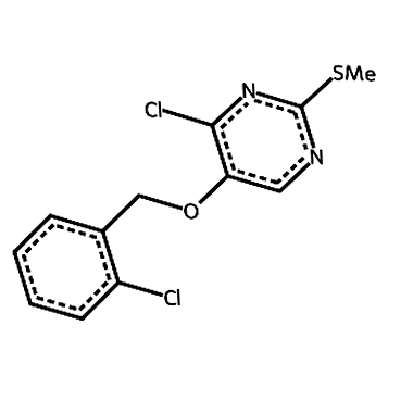 CSc1ncc(OCc2ccccc2Cl)c(Cl)n1